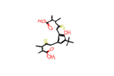 CC(C(=O)O)C(C)C(=S)Cc1cc(CC(=S)C(C)C(C)C(=O)O)c(O)c(C(C)(C)C)c1